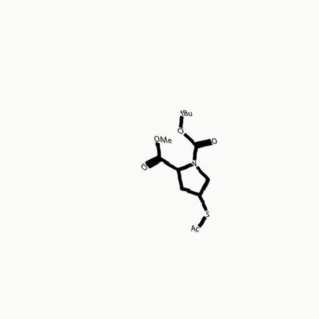 COC(=O)C1CC(SC(C)=O)CN1C(=O)OC(C)(C)C